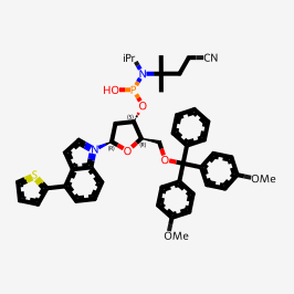 COc1ccc(C(OC[C@H]2O[C@@H](n3ccc4c(-c5cccs5)cccc43)C[C@@H]2OP(O)N(C(C)C)C(C)(C)CCC#N)(c2ccccc2)c2ccc(OC)cc2)cc1